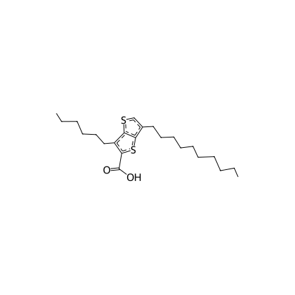 CCCCCCCCCCc1csc2c(CCCCCC)c(C(=O)O)sc12